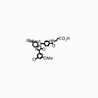 CCCCC[C@H](c1ccc(C(=O)NCCC(=O)O)cc1)N1C(=O)C(c2cc(Cl)cc(OC)c2)=NC12CCC(C(C)(C)C)CC2